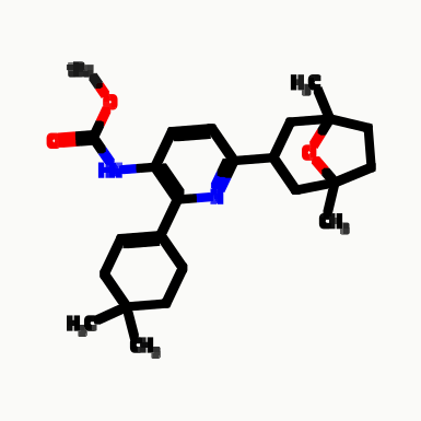 CC1(C)CC=C(c2nc(C3CC4(C)CCC(C)(C3)O4)ccc2NC(=O)OC(C)(C)C)CC1